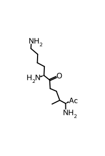 CC(=O)[C@@H](N)C(C)CCC(=O)[C@@H](N)CCCCN